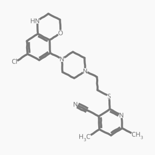 Cc1cc(C)c(C#N)c(SCCN2CCN(c3cc(Cl)cc4c3OCCN4)CC2)n1